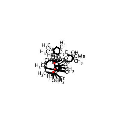 C=C1CO[C@@H]2[C@@H](C)CN(C)[C@H](C)C[C@@](C)(OC1)[C@H](O[C@@H]1O[C@H](C)C[C@H](N(C)C)[C@H]1O)[C@@H](C)[C@H](O[C@H]1C[C@@](C)(OC)[C@@H](O)[C@H](C)O1)[C@@H](C)C(=O)O[C@H](CC)[C@@]2(C)O